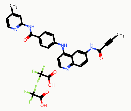 CC#CC(=O)Nc1ccc2nccc(Nc3ccc(C(=O)Nc4cc(C)ccn4)cc3)c2c1.O=C(O)C(F)(F)F.O=C(O)C(F)(F)F